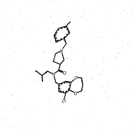 Cc1cccc(CN2CCC(C(=O)N(Cc3cc(Cl)c4c(c3)OCCCO4)CC(C)C)C2)c1